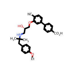 CCOc1ccc(CC(C)(C)NC[C@H](O)COc2cc(-c3ccc(C(=O)O)cc3)ccc2C#N)cc1